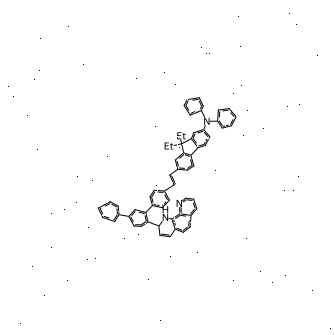 CCC1(CC)c2cc(/C=C/c3ccc(-c4cc(-c5ccccc5)ccc4C4C=Cc5ccc6cccnc6c5N4)cc3)ccc2-c2ccc(N(c3ccccc3)c3ccccc3)cc21